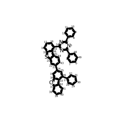 c1ccc(-c2nc(-c3ccccc3)nc(-c3cccc4sc5cc(-c6cc(-c7ccccc7)c7c(c6)oc6ccccc67)ccc5c34)n2)cc1